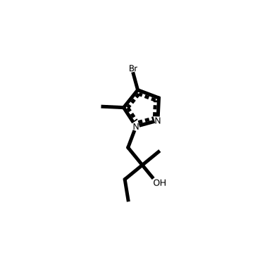 CCC(C)(O)Cn1ncc(Br)c1C